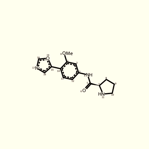 COc1cc(NC(=O)[C@H]2CCCN2)ccc1-c1cnco1